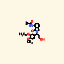 CCOc1cc(C(CCO)N2Cc3cccc(NC(=O)C4CC4)c3C2=O)ccc1OC